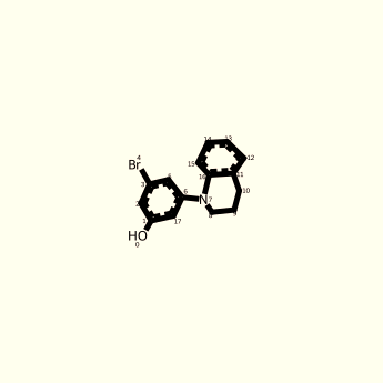 Oc1cc(Br)cc(N2CCCc3ccccc32)c1